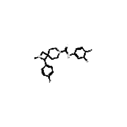 CN1CC2(CCN(C(=O)NC3=CC(F)C(F)C=C3)CC2)C1c1ccc(F)cc1